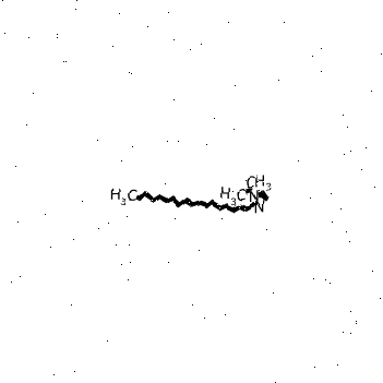 CCCCCCCCC=CCCCCCCCCc1nccn1C(C)C